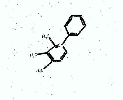 CC1=C(C)[C](C)=[Ge]([c]2ccccc2)[CH]=C1